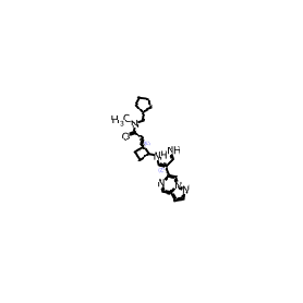 CN(CC1CCCC1)C(=O)/C=C1\CCC1N/C=C(\C=N)c1cn2nccc2cn1